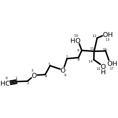 C#CCOCCOCCC(O)C(CO)(CO)CO